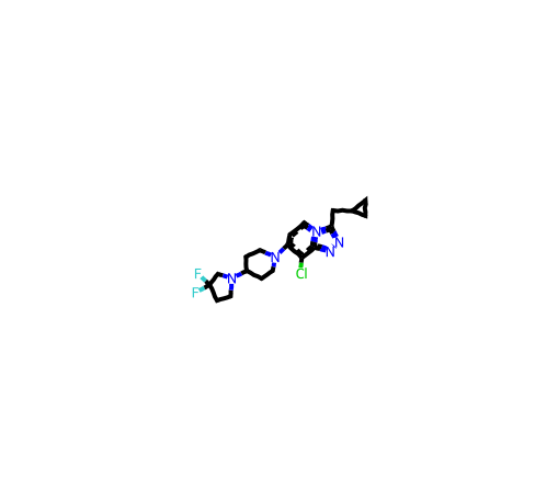 FC1(F)CCN(C2CCN(c3ccn4c(CC5CC5)nnc4c3Cl)CC2)C1